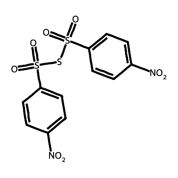 O=[N+]([O-])c1ccc(S(=O)(=O)SS(=O)(=O)c2ccc([N+](=O)[O-])cc2)cc1